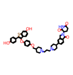 O=C1CCC(N2Cc3cc(C4CCN(CCCN5CCC(COc6ccc(Oc7c(-c8ccc(O)cc8)sc8cc(O)ccc78)cc6)CC5)CC4)ccc3C2=O)C(=O)N1